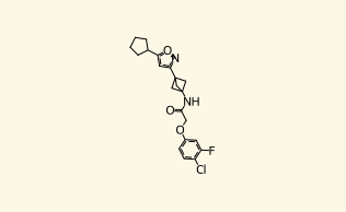 O=C(COc1ccc(Cl)c(F)c1)NC12CC(c3cc(C4CCCC4)on3)(C1)C2